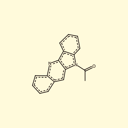 CC(=O)n1c2ccccc2c2nc3ccccc3cc21